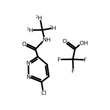 O=C(O)C(F)(F)F.[2H]C([2H])([2H])NC(=O)c1ccc(Cl)nn1